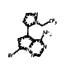 Nc1ncnn2c(Br)cc(-c3ccnn3CC(F)(F)F)c12